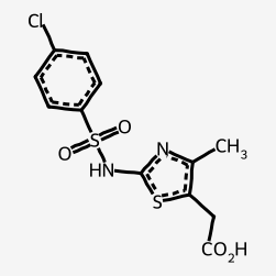 Cc1nc(NS(=O)(=O)c2ccc(Cl)cc2)sc1CC(=O)O